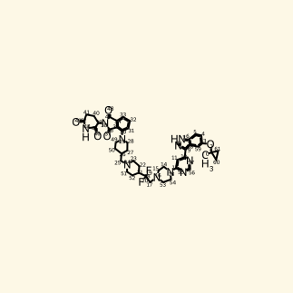 CC1(Oc2ccc3[nH]nc(-c4cc(N5CCN(CC(F)(F)C6CCN(CC7CCN(c8cccc9c8C(=O)N(C8CCC(=O)NC8=O)C9=O)CC7)CC6)CC5)ncn4)c3c2)CC1